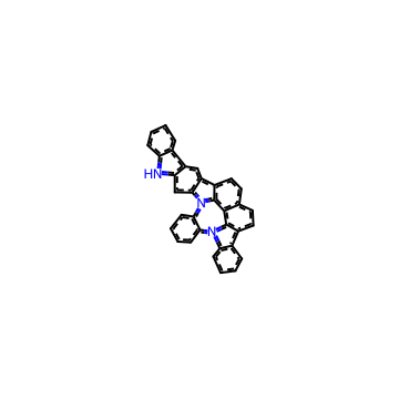 c1ccc2c(c1)[nH]c1cc3c(cc12)c1ccc2ccc4c5ccccc5n5c6ccccc6n3c1c2c45